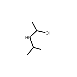 CC(C)NC(C)O